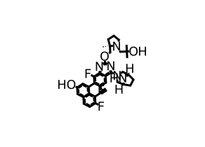 C#Cc1c(F)ccc2cc(O)cc(-c3c(F)cc4c(N5C[C@H]6CC[C@@H](C5)N6)nc(OC[C@@]5(C)CCCN5CC(C)(C)O)nc4c3F)c12